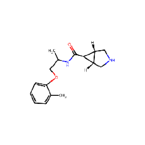 Cc1ccccc1OCC(C)NC(=O)[C@H]1[C@@H]2CNC[C@@H]21